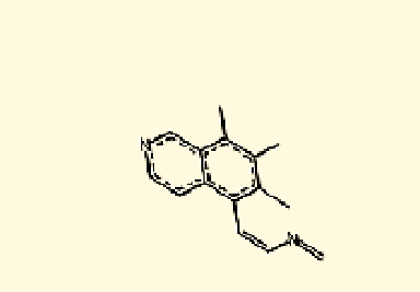 C=N/C=C\c1c(C)c(C)c(C)c2cnccc12